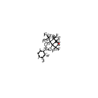 Fc1cccc(B2OC(C(F)(F)F)(C(F)(F)F)C(C(F)(F)F)(C(F)(F)F)O2)c1F